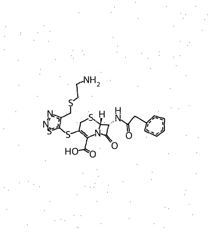 NCCSCc1nnsc1SC1=C(C(=O)O)N2C(=O)[C@@H](NC(=O)Cc3ccccc3)[C@H]2SC1